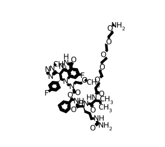 COCCN(CN1c2cc(F)cc3c(=O)[nH]nc(c23)[C@H](c2ncnn2C)[C@H]1c1ccc(F)cc1)C(=O)OC(NC(=O)[C@H](CCCNC(N)=O)NC(=O)[C@@H](NC(=O)CCOCCOCCOCCOCCON)C(C)C)c1ccccc1